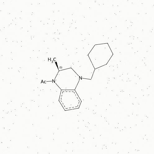 CC(=O)N1c2ccccc2N(CC2CCCCC2)C[C@@H]1C